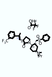 C/C(=C\[C@H]1CCN([C@H]2CC[C@@H](N(C)C(C)C)C[C@H]2CS(=O)(=O)c2ccccc2)C1=O)c1cccc(C(F)(F)F)c1.O=C(O)C(F)(F)F